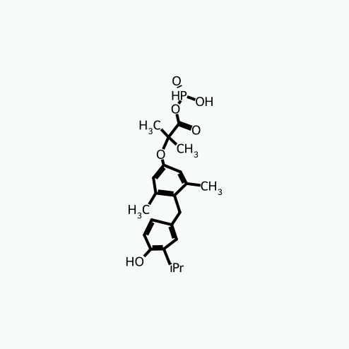 Cc1cc(OC(C)(C)C(=O)O[PH](=O)O)cc(C)c1Cc1ccc(O)c(C(C)C)c1